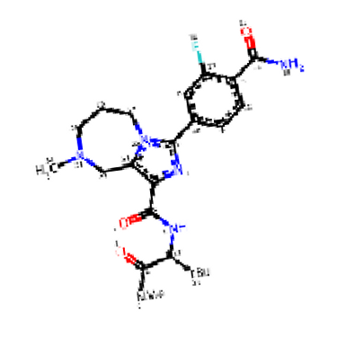 CNC(=O)[C@@H](NC(=O)c1nc(-c2ccc(C(N)=O)c(F)c2)n2c1CN(C)CCC2)C(C)(C)C